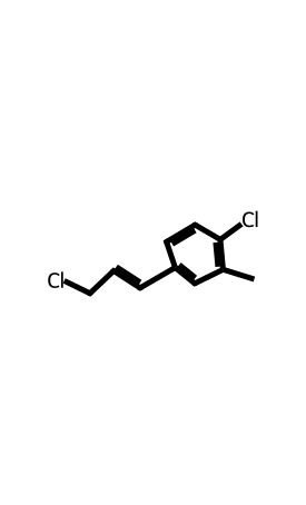 Cc1cc(/C=C/CCl)ccc1Cl